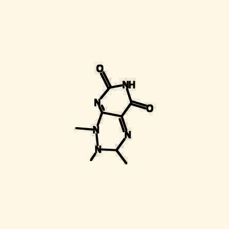 CC1N=C2C(=O)NC(=O)N=C2N(C)N1C